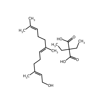 CC(C)=CCCC(C)=CCCC(C)=CCO.CCC(CC)(C(=O)O)C(=O)O